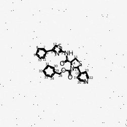 O=C(Nc1nc(-c2ccccc2)cs1)C1CSC(c2ccncc2)N1C(=O)OCc1ccccc1